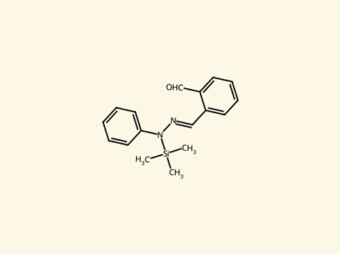 C[Si](C)(C)N(N=Cc1ccccc1C=O)c1ccccc1